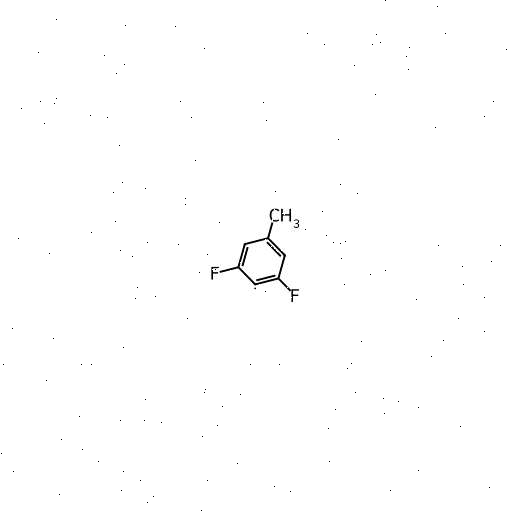 Cc1cc(F)[c]c(F)c1